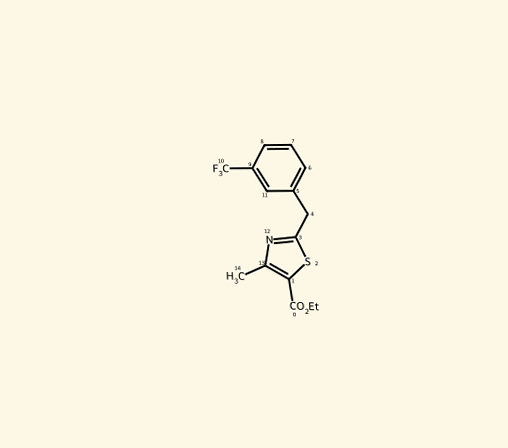 CCOC(=O)c1sc(Cc2cccc(C(F)(F)F)c2)nc1C